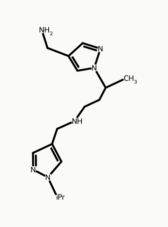 CC(C)n1cc(CNCCC(C)n2cc(CN)cn2)cn1